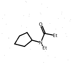 CCC(=O)N(CC)C1CCCC1